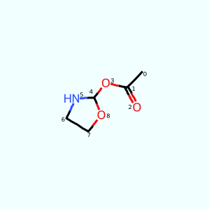 CC(=O)OC1NCCO1